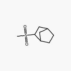 CS(=O)(=O)C1CC2CCC1C2